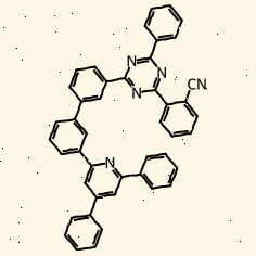 N#Cc1ccccc1-c1nc(-c2ccccc2)nc(-c2cccc(-c3cccc(-c4cc(-c5ccccc5)cc(-c5ccccc5)n4)c3)c2)n1